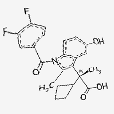 Cc1c([C@](C)(C(=O)O)C2CCC2)c2cc(O)ccc2n1C(=O)c1ccc(F)c(F)c1